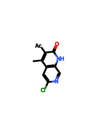 CC(=O)c1c(C)c2cc(Cl)ncc2[nH]c1=O